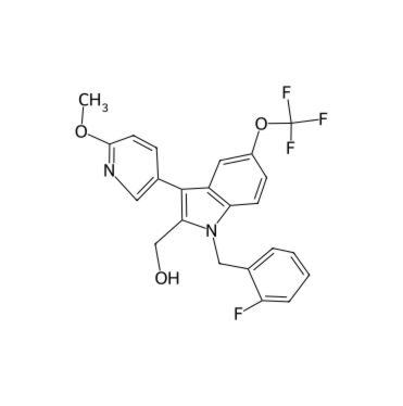 COc1ccc(-c2c(CO)n(Cc3ccccc3F)c3ccc(OC(F)(F)F)cc23)cn1